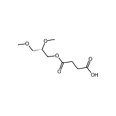 COC[C@@H](COC(=O)CCC(=O)O)OC